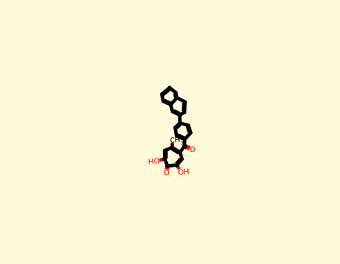 Cc1cc(O)c(=O)c(O)cc1C(=O)c1ccc(-c2ccc3ccccc3c2)cc1